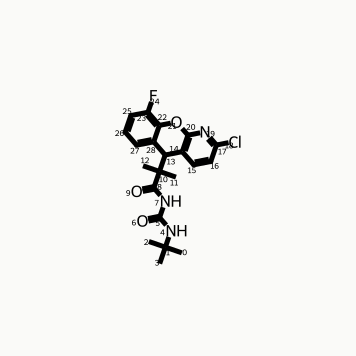 CC(C)(C)NC(=O)NC(=O)C(C)(C)C1c2ccc(Cl)nc2Oc2c(F)cccc21